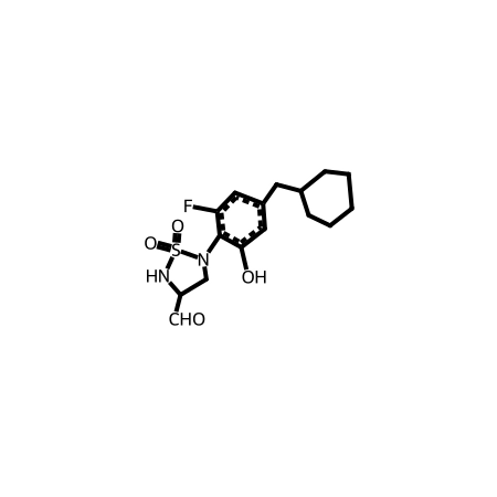 O=CC1CN(c2c(O)cc(CC3CCCCC3)cc2F)S(=O)(=O)N1